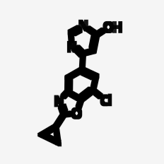 Oc1cc(-c2cc(Cl)c3oc(C4CC4)nc3c2)ncn1